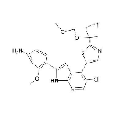 COCOC1(c2ncc(-c3c(Cl)cnc4[nH]c(-c5ccc(N)cc5OC)cc34)s2)CCC1